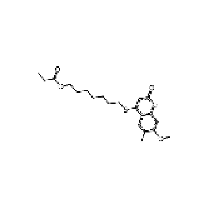 CCC(=O)OCCCCCCCSc1cc(=O)oc2cc(OC)c(C)cc12